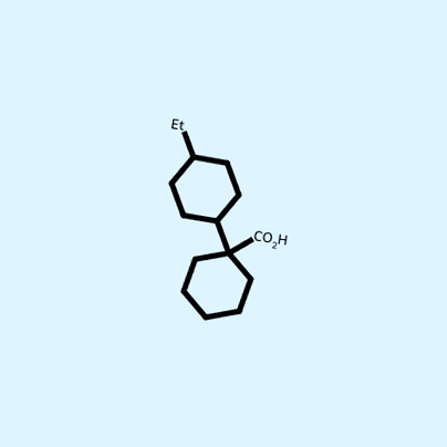 CCC1CCC(C2(C(=O)O)CCCCC2)CC1